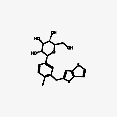 OC[C@H]1O[C@@H](c2ccc(F)c(Cc3cc4sccc4s3)c2)[C@H](O)[C@@H](O)[C@@H]1O